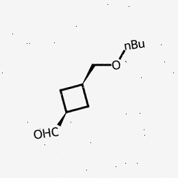 CCCCOC[C@H]1C[C@@H](C=O)C1